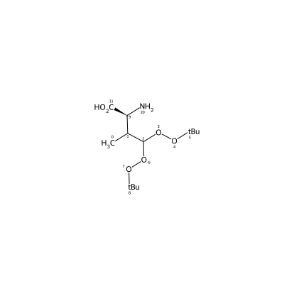 CC(C(OOC(C)(C)C)OOC(C)(C)C)[C@H](N)C(=O)O